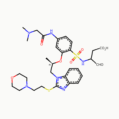 C[C@H](Cn1c(SCCN2CCOCC2)nc2ccccc21)Oc1cc(NC(=O)CN(C)C)ccc1S(=O)(=O)NC(C=O)CC(=O)O